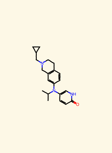 CC(C)N(c1ccc(=O)[nH]c1)c1ccc2c(c1)CN(CC1CC1)CC2